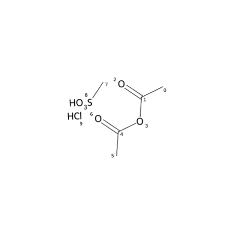 CC(=O)OC(C)=O.CS(=O)(=O)O.Cl